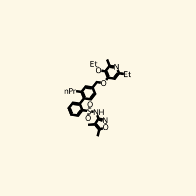 CCCc1cc(COc2cc(CC)nc(C)c2OCC)ccc1-c1ccccc1S(=O)(=O)Nc1noc(C)c1C